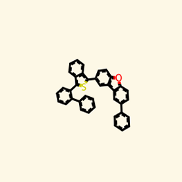 c1ccc(-c2ccc3oc4ccc(-c5sc(-c6ccccc6-c6ccccc6)c6ccccc56)cc4c3c2)cc1